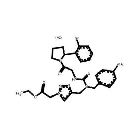 CCOC(=O)Cn1cc(CN(Cc2ccc(N)cc2)C(=O)NCC(=O)N2CCCC2c2ccccc2Br)nn1.Cl